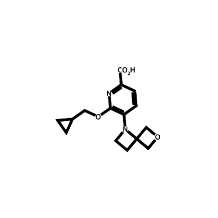 O=C(O)c1ccc(N2CCC23COC3)c(OCC2CC2)n1